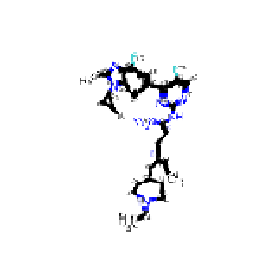 C=C/C(=C\C=C(/N)Nc1ncc(F)c(-c2cc(F)c3nc(C)n(C4CC4)c3c2)n1)CC1CCN(CC)CC1